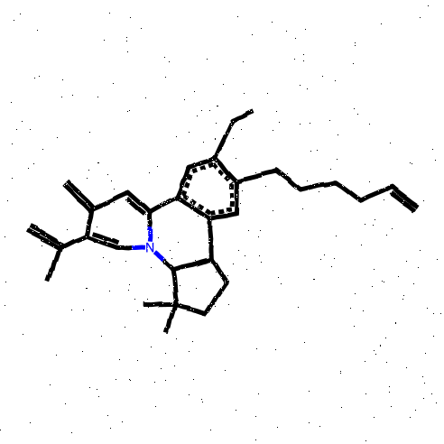 C=CCCCCc1cc2c(cc1CC)C1=CC(=C)C(C(=C)C)=CN1C1C2CCC1(C)C